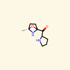 [CH2][C@@]12CCC(C(=O)C3CCCN3)(N1)O2